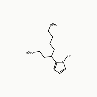 CCCCCCCCCCCCCCC(CCCCCCCCCCCC)c1nccn1C(C)C